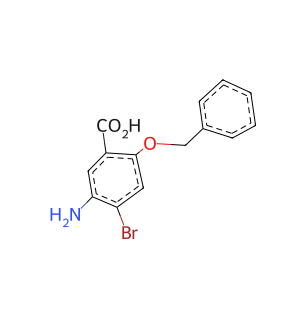 Nc1cc(C(=O)O)c(OCc2ccccc2)cc1Br